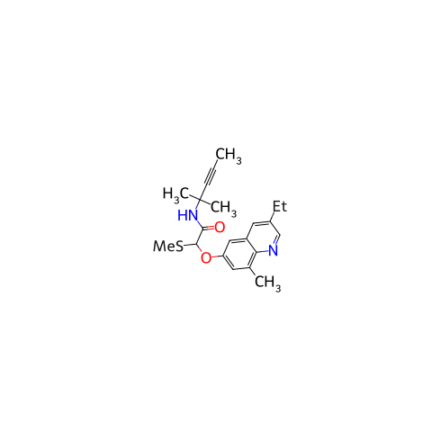 CC#CC(C)(C)NC(=O)C(Oc1cc(C)c2ncc(CC)cc2c1)SC